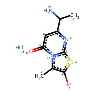 Cc1c(Br)sc2nc(C(C)N)cc(=O)n12.Cl